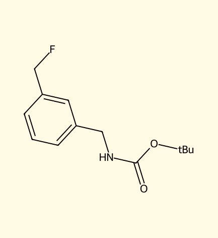 CC(C)(C)OC(=O)NCc1cccc(CF)c1